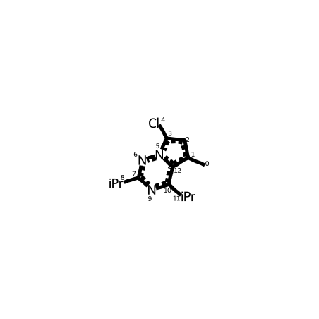 Cc1cc(Cl)n2nc(C(C)C)nc(C(C)C)c12